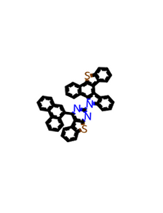 c1ccc2c(c1)cc(-c1nc(-n3c4ccccc4c4c5c6ccccc6sc5c5ccccc5c43)nc3sc4ccccc4c13)c1ccccc12